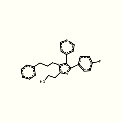 OCCc1nc(-c2ccc(F)cc2)c(-c2ccncc2)n1CCCc1ccccc1